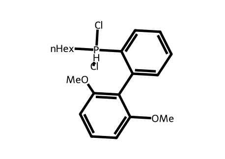 CCCCCC[PH](Cl)(Cl)c1ccccc1-c1c(OC)cccc1OC